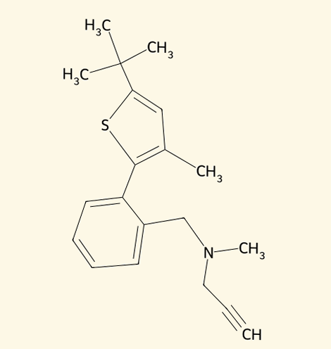 C#CCN(C)Cc1ccccc1-c1sc(C(C)(C)C)cc1C